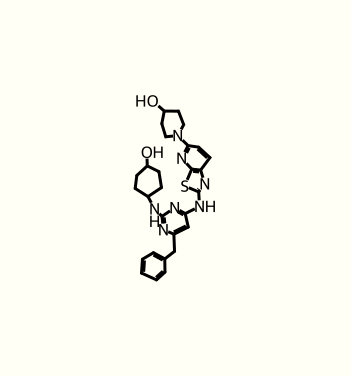 OC1CCC(Nc2nc(Cc3ccccc3)cc(Nc3nc4ccc(N5CCC(O)CC5)nc4s3)n2)CC1